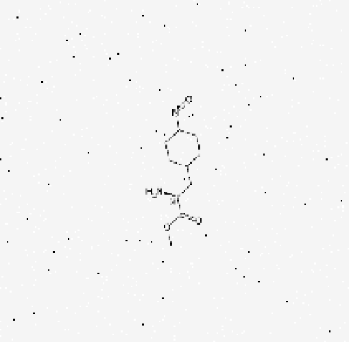 COC(=O)[C@@H](N)CC1CCC(N=O)CC1